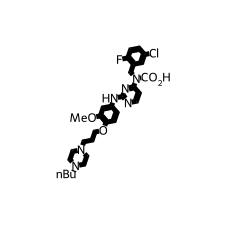 CCCCN1CCN(CCCOc2ccc(Nc3nccc(N(Cc4cc(Cl)ccc4F)C(=O)O)n3)cc2OC)CC1